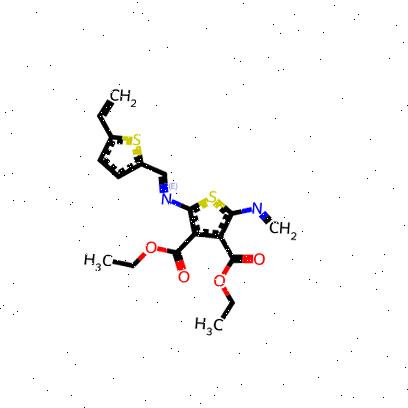 C=Cc1ccc(/C=N/c2sc(N=C)c(C(=O)OCC)c2C(=O)OCC)s1